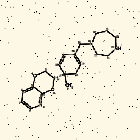 CC1([C@H]2COc3cccnc3O2)C=CC(CN2CCCNCC2)=CC1